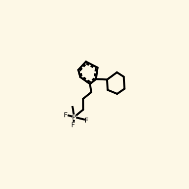 CP(F)(F)(F)CCCc1ccccc1C1CCCCC1